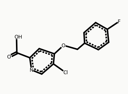 O=C(O)c1cc(OCc2ccc(F)cc2)c(Cl)cn1